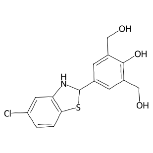 OCc1cc(C2Nc3cc(Cl)ccc3S2)cc(CO)c1O